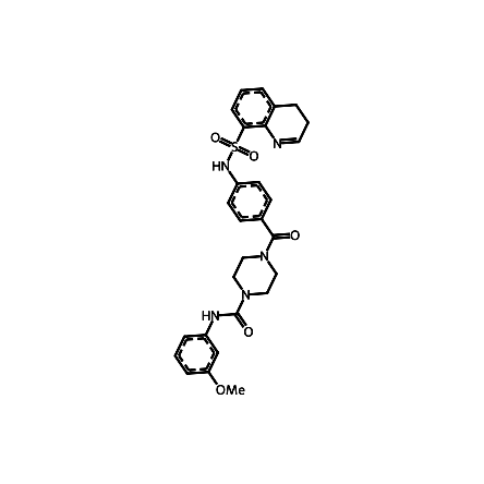 COc1cccc(NC(=O)N2CCN(C(=O)c3ccc(NS(=O)(=O)c4cccc5c4N=CCC5)cc3)CC2)c1